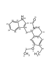 CCOc1cc2c(cc1CC)CCN(C=O)C2Cc1c[nH]c2ccccc12